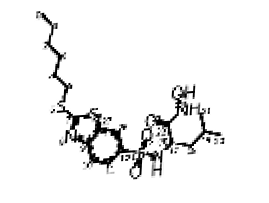 CCCCCCSc1nc2ccc(S(=O)(=O)N[C@H](CC(C)C)C(=O)NO)cc2s1